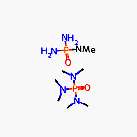 CN(C)P(=O)(N(C)C)N(C)C.CNP(N)(N)=O